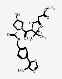 COC(=O)CC(=O)N[C@H](C(=O)N1C[C@H](O)C[C@H]1C(=O)NCc1ccc(-c2scnc2C)cc1)C(C)(C)C